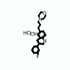 Cl.Cl.Fc1cccc(-c2cnc3ccc(CCCN4CCOCC4)cc3c2)c1